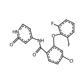 O=C(Nc1cc[nH]c(=O)c1)c1ccc(Cl)cc1Oc1c(F)cccc1F